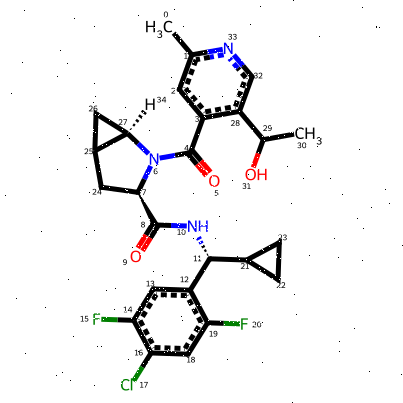 Cc1cc(C(=O)N2[C@@H](C(=O)N[C@@H](c3cc(F)c(Cl)cc3F)C3CC3)CC3C[C@H]32)c(C(C)O)cn1